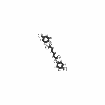 O=C(CCCCC(=O)Oc1ccc(Cl)cc1)Oc1ccc(Cl)cc1